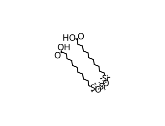 C[Si](C)(CCCCCCCCCCC(=O)O)O[Si](C)(C)O[Si](C)(C)CCCCCCCCCCC(=O)O